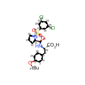 CC(C)(C)Oc1ccc(C[C@H](NC(=O)c2cccn2S(=O)(=O)c2cc(Cl)cc(Cl)c2)C(=O)O)cc1